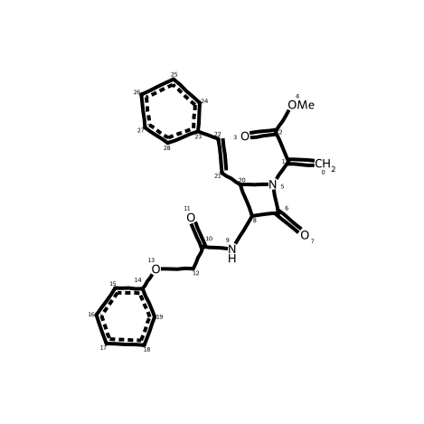 C=C(C(=O)OC)N1C(=O)C(NC(=O)COc2ccccc2)C1C=Cc1ccccc1